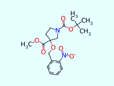 COC(=O)C1(OCc2ccccc2[N+](=O)[O-])CCN(C(=O)OC(C)(C)C)C1